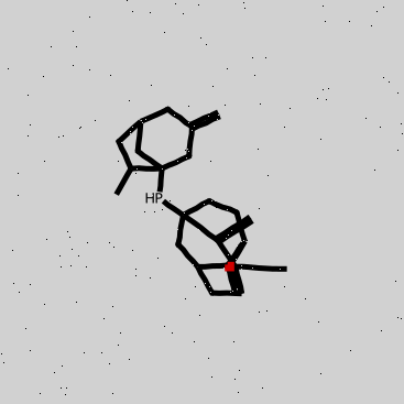 C=C1CC2CC(C)C(PC34CCC5C(C)C(CC3=C)CC(C4)C5C)(C1)C2